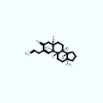 C=CCC1=C[C@@]2(C)[C@@H](CC[C@H]3[C@@H]4CCC[C@@]4(C)CC[C@@H]32)CC1=O